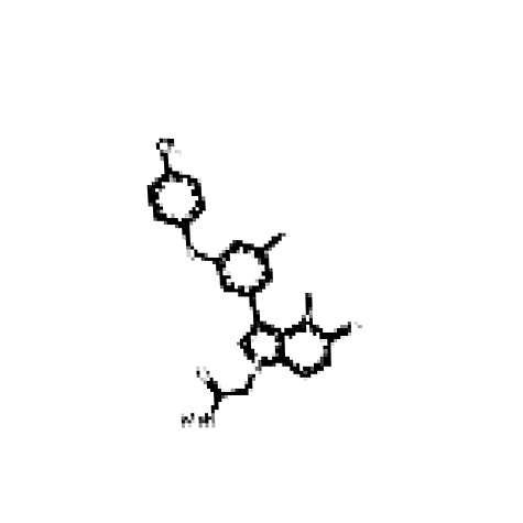 CNC(=O)Cn1cc(-c2cc(C)cc(Oc3ccc(C(F)(F)F)cc3)c2)c2c1ccc(=O)n2C